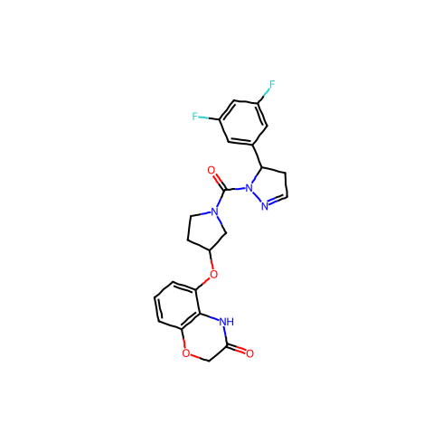 O=C1COc2cccc(OC3CCN(C(=O)N4N=CCC4c4cc(F)cc(F)c4)C3)c2N1